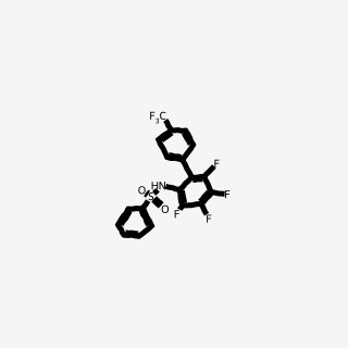 O=S(=O)(Nc1c(F)c(F)c(F)c(F)c1-c1ccc(C(F)(F)F)cc1)c1ccccc1